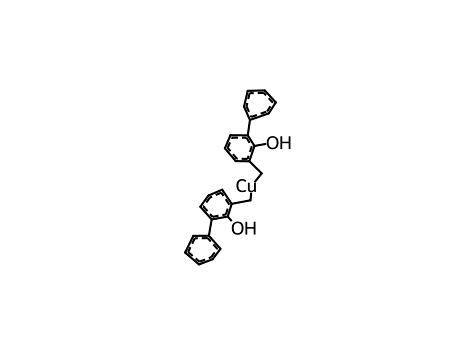 Oc1c([CH2][Cu][CH2]c2cccc(-c3ccccc3)c2O)cccc1-c1ccccc1